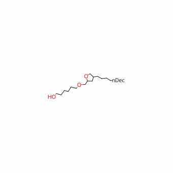 CCCCCCCCCCCCCCC1COC(COCCCCCCO)C1